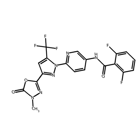 Cn1nc(-c2cc(C(F)(F)F)n(-c3ccc(NC(=O)c4c(F)cccc4F)cn3)n2)oc1=O